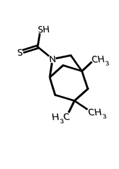 CC1(C)CC2CC(C)(CN2C(=S)S)C1